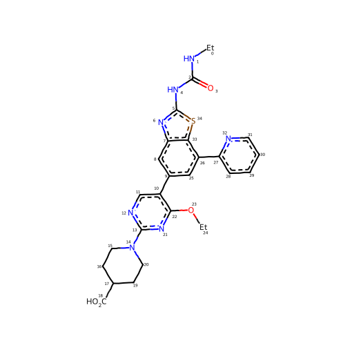 CCNC(=O)Nc1nc2cc(-c3cnc(N4CCC(C(=O)O)CC4)nc3OCC)cc(-c3ccccn3)c2s1